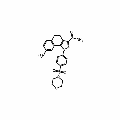 NC(=O)c1nn(-c2ccc(S(=O)(=O)N3CCOCC3)cc2)c2c1CCc1ccc(N)cc1-2